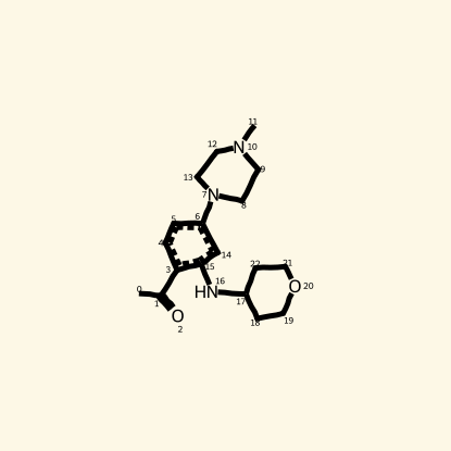 CC(=O)c1ccc(N2CCN(C)CC2)cc1NC1CCOCC1